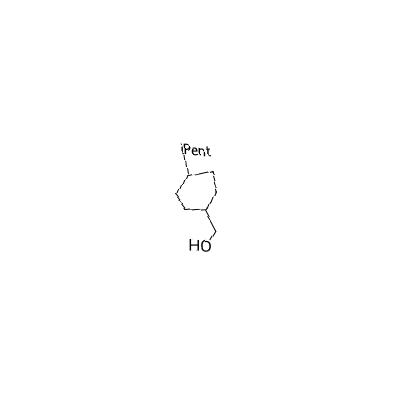 CCCC(C)C1CCC(CO)CC1